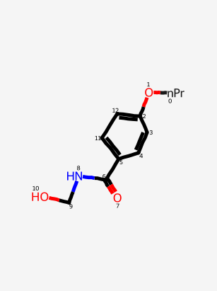 CCCOc1ccc(C(=O)NCO)cc1